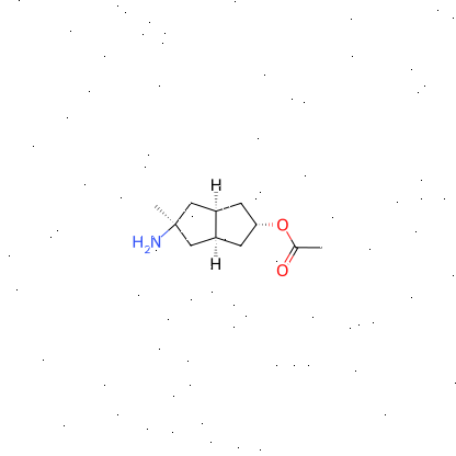 CC(=O)O[C@H]1C[C@@H]2C[C@](C)(N)C[C@@H]2C1